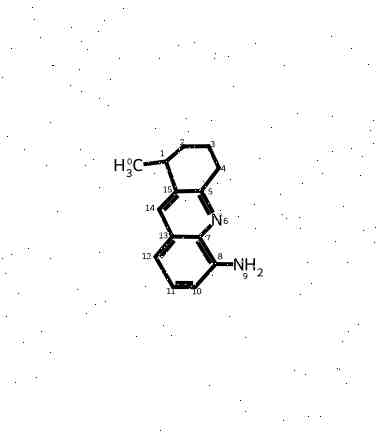 CC1CCCc2nc3c(N)cccc3cc21